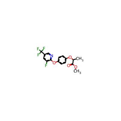 COC(=O)C(C)Oc1ccc(Oc2ncc(C(F)(F)F)cc2F)cc1